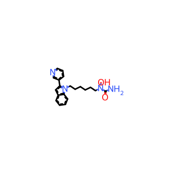 NC(=O)N(O)CCCCCCn1c(-c2cccnc2)cc2ccccc21